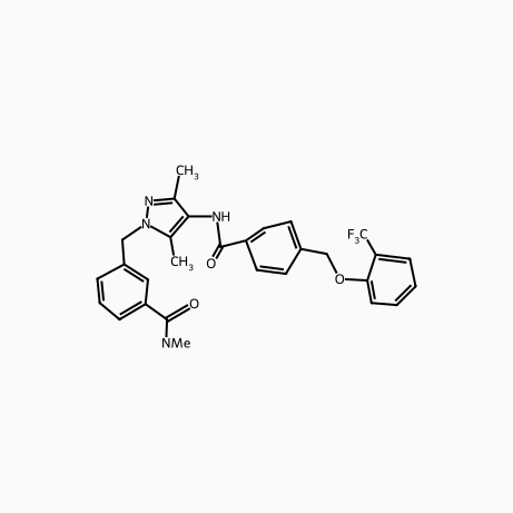 CNC(=O)c1cccc(Cn2nc(C)c(NC(=O)c3ccc(COc4ccccc4C(F)(F)F)cc3)c2C)c1